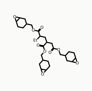 CCC(CC(CC(=O)OCC1CCC2OC2C1)C(=O)OCC1CCC2OC2C1)C(=O)OCC1CCC2OC2C1